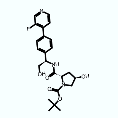 CC(C)(C)OC(=O)N1C[C@H](O)C[C@H]1C(=O)N[C@@H](CO)c1ccc(-c2ccncc2F)cc1